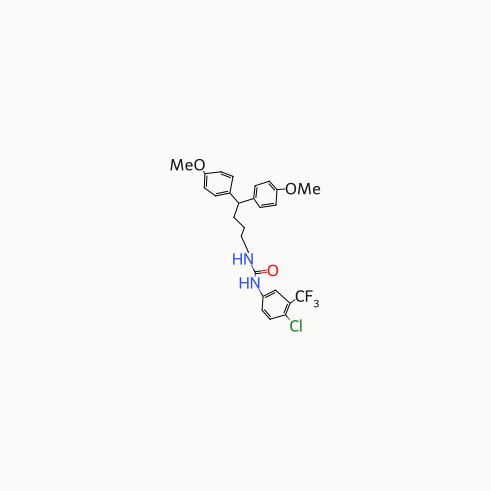 COc1ccc(C(CCCCNC(=O)Nc2ccc(Cl)c(C(F)(F)F)c2)c2ccc(OC)cc2)cc1